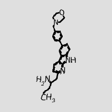 CCCC(N)Cc1ccc2c(n1)[nH]c1ccc(-c3ccc(CN4CCOCC4)cc3)cc12